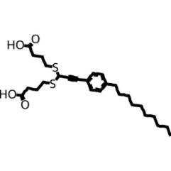 CCCCCCCCCCc1ccc(C#CC(SCCCC(=O)O)SCCCC(=O)O)cc1